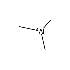 [CH3][4Al]([CH3])[CH3]